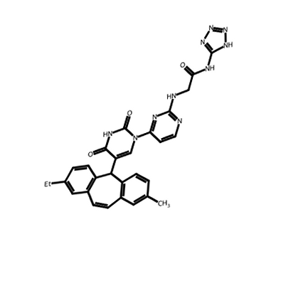 CCc1ccc2c(c1)C=Cc1cc(C)ccc1C2c1cn(-c2ccnc(NCC(=O)Nc3nnn[nH]3)n2)c(=O)[nH]c1=O